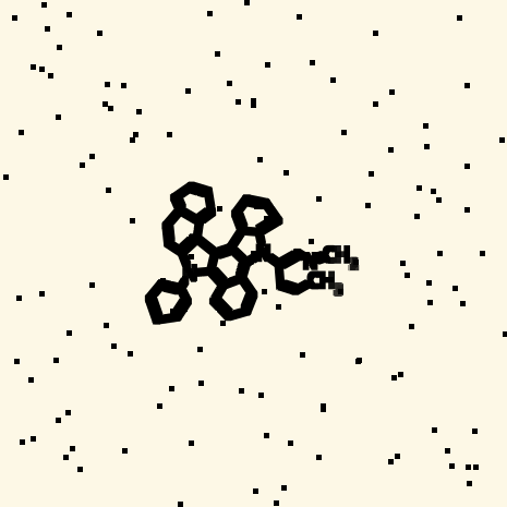 C=N/C=C(\C=C/C)n1c2ccccc2c2c3c4c5ccccc5ccc4n(-c4ccccc4)c3c3ccccc3c21